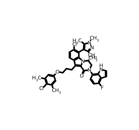 Cc1cc(OCCCc2c3n(c4c(-c5c(C)nn(C)c5C)c(Cl)ccc24)C(C)CN(c2ccc(F)c4cc[nH]c24)C3=O)cc(C)c1Cl